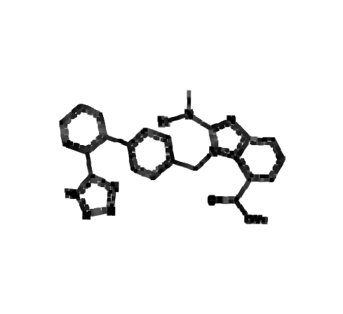 CCN(C)c1nc2cccc(C(=O)OC)c2n1Cc1ccc(-c2ccccc2-c2nnn[nH]2)cc1